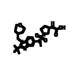 CN(c1ccc2c(c1)nc(C(C)(C)C)n2CC1CCOCC1)S(=O)(=O)N1CCC(NC(=O)O)C1